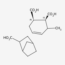 CC1C=CC[C@@H](C(=O)O)[C@H]1C(=O)O.O=C(O)C1CC2CCC1C2